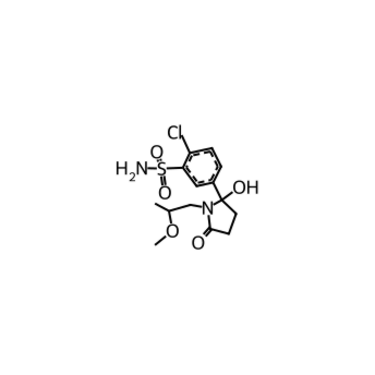 COC(C)CN1C(=O)CCC1(O)c1ccc(Cl)c(S(N)(=O)=O)c1